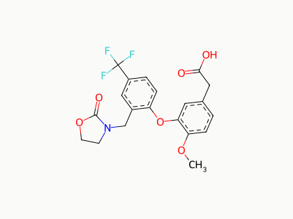 COc1ccc(CC(=O)O)cc1Oc1ccc(C(F)(F)F)cc1CN1CCOC1=O